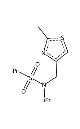 Cc1nc(CN(C(C)C)S(=O)(=O)C(C)C)cs1